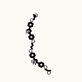 C1=C(c2ccc(OCC3CO3)cc2)CN=C1c1ccc(OCCCCOc2ccc(-c3cc(-c4ccc(OCC5CO5)cc4)no3)cc2)cc1